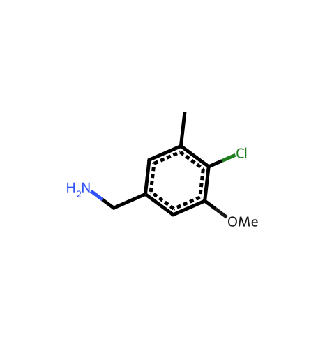 COc1cc(CN)cc(C)c1Cl